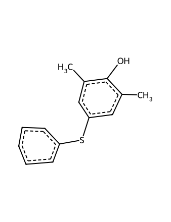 Cc1cc(Sc2ccccc2)cc(C)c1O